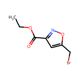 CCOC(=O)c1cc(CBr)on1